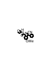 COc1ccc2c(C(=O)NC3CCOC3)nc(C#N)c(-c3ccccc3)c2c1